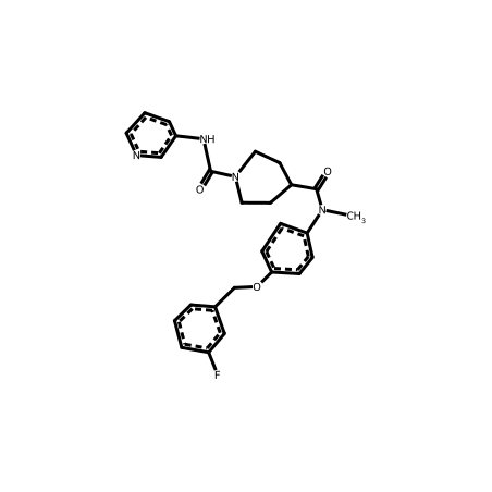 CN(C(=O)C1CCN(C(=O)Nc2cccnc2)CC1)c1ccc(OCc2cccc(F)c2)cc1